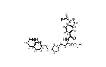 O=C(N[C@H](CCN1CC[C@H](CCc2ccc3c(n2)NCCC3)C1)C(=O)O)c1ccc2c(cnn2C(F)F)c1